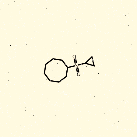 O=S(=O)(C1CCC[CH]CCC1)C1CC1